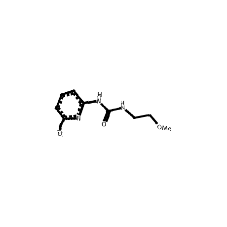 CCc1cccc(NC(=O)NCCOC)n1